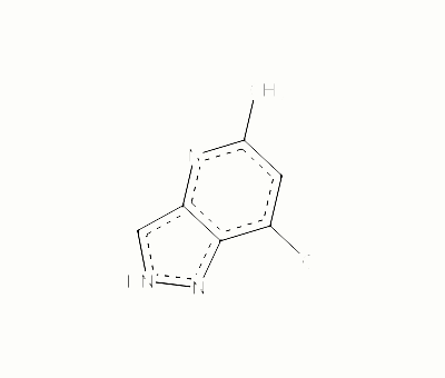 Cc1cc(Cl)c2n[nH]cc2n1